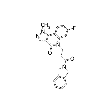 Cn1ncc2c(=O)n(CCC(=O)N3Cc4ccccc4C3)c3cc(F)ccc3c21